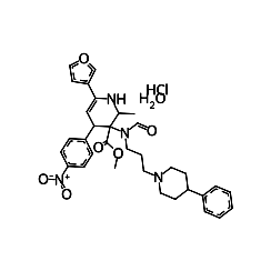 COC(=O)C1(N(C=O)CCCN2CCC(c3ccccc3)CC2)C(C)NC(c2ccoc2)=CC1c1ccc([N+](=O)[O-])cc1.Cl.O